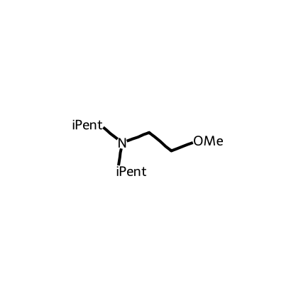 CCCC(C)N(CCOC)C(C)CCC